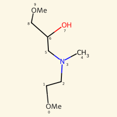 COCCN(C)CC(O)COC